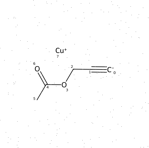 [C-]#CCOC(C)=O.[Cu+]